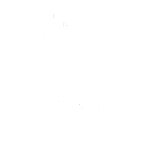 O=C(NO)c1ccc2c(c1)CC[C@@]1(CCN(Cc3ccccc3Cl)C1=O)C2